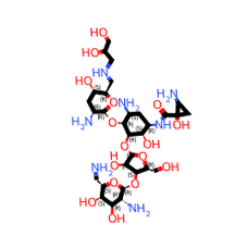 NC[C@@H]1O[C@H](O[C@H]2[C@@H](O)[C@H](O[C@@H]3[C@@H](O)[C@H](NC(=O)C4(O)CC4N)C[C@H](N)[C@H]3O[C@H]3O[C@H](CNCC(O)CO)[C@@H](O)C[C@H]3N)O[C@@H]2CO)[C@H](N)[C@@H](O)[C@@H]1O